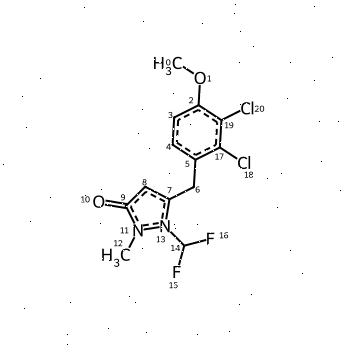 COc1ccc(Cc2cc(=O)n(C)n2C(F)F)c(Cl)c1Cl